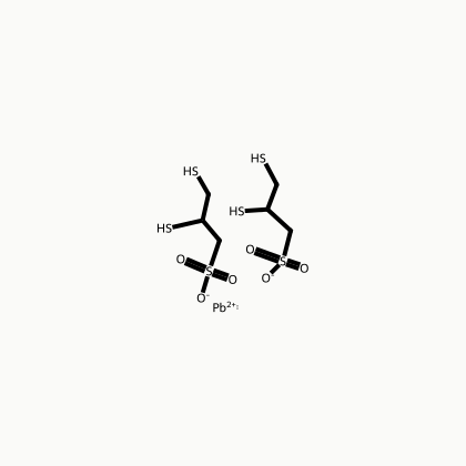 O=S(=O)([O-])CC(S)CS.O=S(=O)([O-])CC(S)CS.[Pb+2]